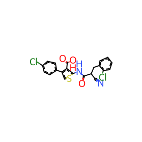 N#CC(Cc1ccccc1Cl)C(=O)Nc1scc(-c2ccc(Cl)cc2)c1C(=O)O